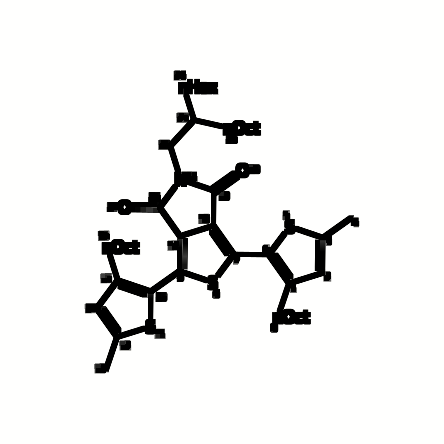 CCCCCCCCc1cc(C)sc1-c1sc(-c2sc(C)cc2CCCCCCCC)c2c1C(=O)N(CC(CCCCCC)CCCCCCCC)C2=O